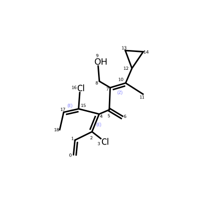 C=C/C(Cl)=C(C(=C)/C(CO)=C(\C)C1CC1)\C(Cl)=C/C